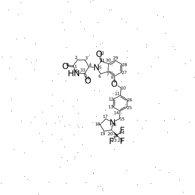 O=C1CCC(N2Cc3c(OCc4ccc(CN5CCC[C@@H]5C(F)(F)F)cc4)cccc3C2=O)C(=O)N1